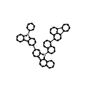 c1ccc(-n2c3ccccc3c3cc(-c4ccc5c6ccc7ccccc7c6n(-c6cccc7c(-c8ccc9c%10c(cccc8%10)-c8ccccc8-9)cccc67)c5c4)ccc32)cc1